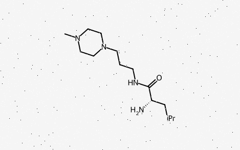 CC(C)C[C@H](N)C(=O)NCCCN1CCN(C)CC1